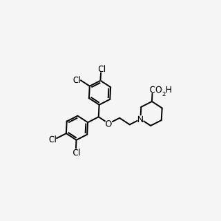 O=C(O)C1CCCN(CCOC(c2ccc(Cl)c(Cl)c2)c2ccc(Cl)c(Cl)c2)C1